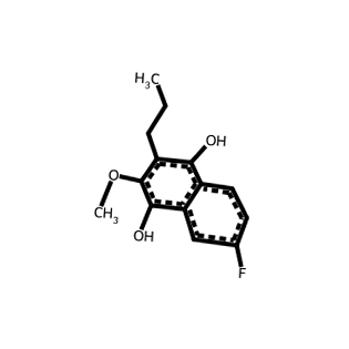 CCCc1c(OC)c(O)c2cc(F)ccc2c1O